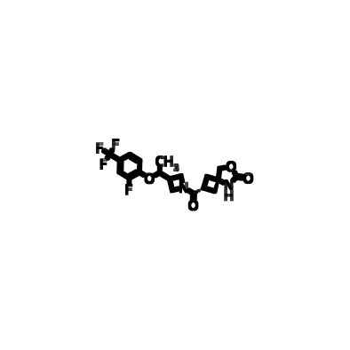 CC(Oc1ccc(C(F)(F)F)cc1F)C1CN(C(=O)[C@H]2C[C@]3(COC(=O)N3)C2)C1